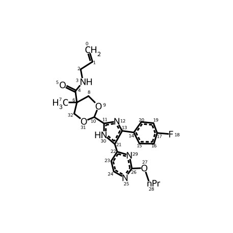 C=CCNC(=O)C1(C)COC(c2nc(-c3ccc(F)cc3)c(-c3ccnc(OCCC)n3)[nH]2)OC1